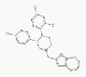 Clc1ccc(C2CN(Cc3cc4ccccc4o3)CCN2c2ccc(Cl)cc2Cl)cc1